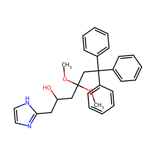 COC(CC(O)Cc1ncc[nH]1)(CC(c1ccccc1)(c1ccccc1)c1ccccc1)OC